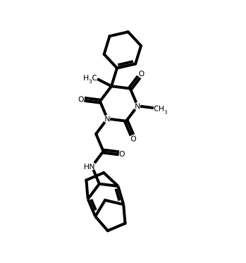 CN1C(=O)N(CC(=O)NC2C3=C4CCC(=C2CC3)C4)C(=O)C(C)(C2=CCCCC2)C1=O